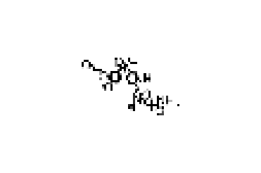 COCCCOc1cc(C(=O)N(C(C)C)[C@@H]2CC[C@H](CCN(C(=O)CC(C)(C)C(N)=O)C3CC3)NC2)ccc1OC